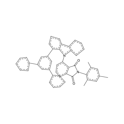 Cc1cc(C)c(N2C(=O)c3cccc(-n4c5ccccc5c5cccc(-c6cc(-c7ccccc7)cc(-c7ccccc7)c6)c54)c3C2=O)c(C)c1